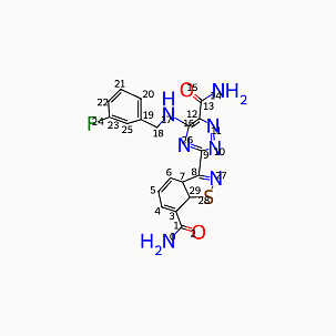 NC(=O)C1=CC=CC2C(c3nnc(C(N)=O)c(NCc4cccc(F)c4)n3)=NSC12